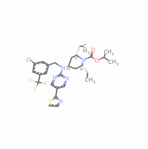 CC[C@@H]1C[C@H](N(Cc2cc(Cl)cc(C(F)(F)F)c2)c2ncc(-c3nccs3)cn2)C[C@H](CC)N1C(=O)OC(C)C